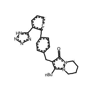 CCCCc1c(Cc2ccc(-c3ccccc3-c3nnn[nH]3)cc2)c(=O)n2n1CCC[C]2